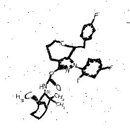 CC12CCC(C1)C(C)(C)[C@H]2NC(=O)Oc1nn(-c2ccc(F)cc2F)c2c1CCCCC2Cc1ccc(F)cc1